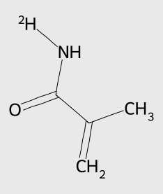 [2H]NC(=O)C(=C)C